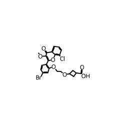 COc1c(-c2ccc(Br)cc2OCCOC2CC(C(=O)O)C2)oc2c(Cl)cccc2c1=O